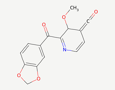 COC1C(=C=O)C=CN=C1C(=O)c1ccc2c(c1)OCO2